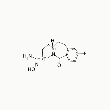 NC(=NO)[C@@H]1CC[C@@H]2CCc3cc(F)ccc3C(=O)N2C1